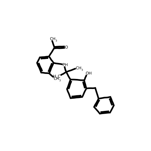 CC(=O)c1cccc(C)c1PC(C)(C)c1cccc(Cc2ccccc2)c1O